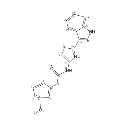 COc1cccc(CC(=O)Nc2csc(-c3c[nH]c4ccccc34)n2)c1